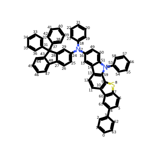 c1ccc(-c2ccc3sc4c(ccc5c6cc(N(c7ccccc7)c7ccc8c(c7)C(c7ccccc7)(c7ccccc7)c7ccccc7-8)ccc6n(-c6ccccc6)c54)c3c2)cc1